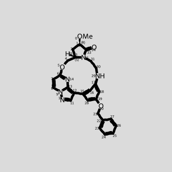 CO[C@@H]1C[C@H]2COc3ccn4ncc(c4n3)-c3cc(cc(OCc4ccccc4)c3)NCCN2C1=O